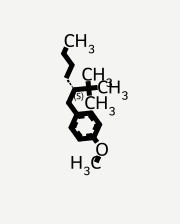 CCCC[C@@H](Cc1ccc(OC)cc1)C(C)(C)C